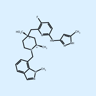 Cc1cc(Nc2ccc(F)c(C[C@@]3(C(=O)O)CCN(Cc4cccc5cnn(C)c45)[C@H](C)C3)n2)n[nH]1